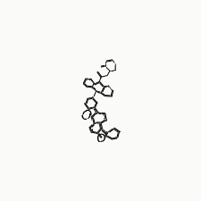 C=C(CC1C=CC=CC1=C)c1c2ccccc2c(-c2ccc3oc4c(ccc5c4ccc4oc6ccccc6c45)c3c2)c2ccccc12